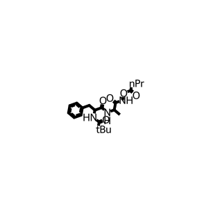 CCCC(=O)ONC(=O)C(C)NC(=O)C(Cc1ccccc1)NC(=O)C(C)(C)C